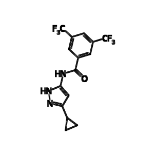 O=C(Nc1cc(C2CC2)n[nH]1)c1cc(C(F)(F)F)cc(C(F)(F)F)c1